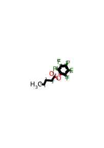 CCC[CH]C(=O)Oc1c(F)c(F)c(F)c(F)c1F